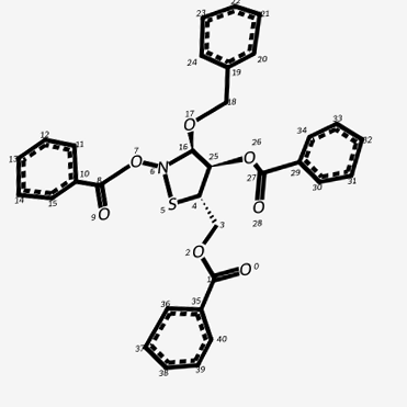 O=C(OC[C@@H]1SN(OC(=O)c2ccccc2)[C@@H](OCc2ccccc2)[C@H]1OC(=O)c1ccccc1)c1ccccc1